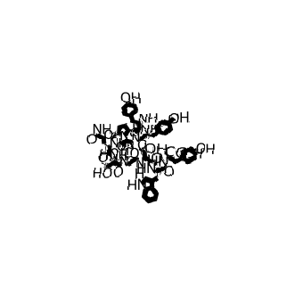 C[C@@H](O)[C@H](NC(=O)CNC(=O)[C@@H](NC(=O)[C@H](CCC(N)=O)NC(=O)[C@@H]1CCCN1C(=O)[C@H](CC(=O)O)NC(=O)[C@H](Cc1ccc(O)cc1)NC(=O)[C@@H](N)Cc1ccc(O)cc1)[C@@H](C)O)C(=O)N[C@@H](Cc1c[nH]c2ccccc12)C(=O)N[C@@H](Cc1ccc(O)cc1)C(=O)O